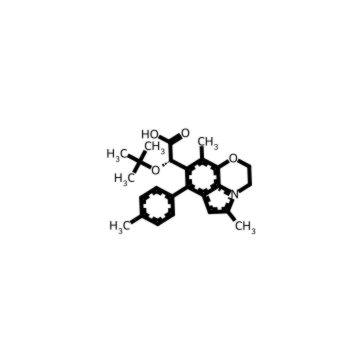 Cc1ccc(-c2c([C@H](OC(C)(C)C)C(=O)O)c(C)c3c4c2cc(C)n4CCO3)cc1